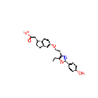 CCc1oc(-c2ccc(O)cc2)nc1CCOc1ccc2c(c1)CCC2CC(=O)O